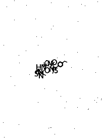 CCc1ccc(-c2sc(C)nc2C(=O)N2CCC[C@@H](NC(=O)c3c(C)nc4sccn34)C2)cc1